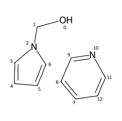 OCn1cccc1.c1ccncc1